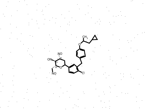 CC(CC1CC1)Oc1ccc(Cc2cc(C3C[C@@H](N=O)[C@H](N=O)[C@@H](CN=O)O3)ccc2Cl)cc1